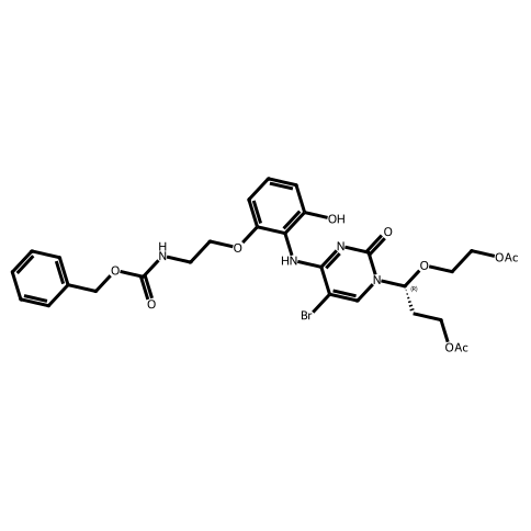 CC(=O)OCCO[C@H](CCOC(C)=O)n1cc(Br)c(Nc2c(O)cccc2OCCNC(=O)OCc2ccccc2)nc1=O